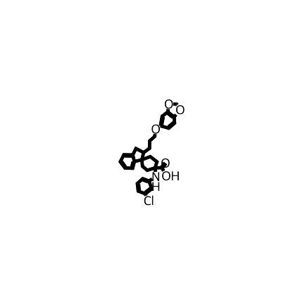 O=C(O)C1(Nc2cccc(Cl)c2)CCC2(CC1)c1ccccc1CC2CCCOc1ccc2c(c1)OCO2